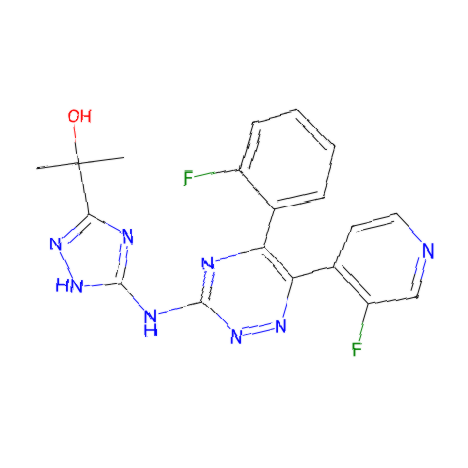 CC(C)(O)c1n[nH]c(Nc2nnc(-c3ccncc3F)c(-c3ccccc3F)n2)n1